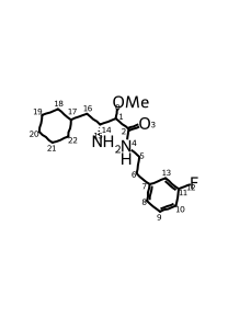 COC(C(=O)NCCc1cccc(F)c1)[C@H](N)CC1CCCCC1